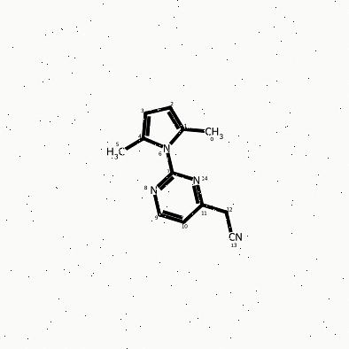 Cc1ccc(C)n1-c1nccc(CC#N)n1